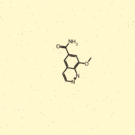 COc1cc(C(N)=O)cc2ccnnc12